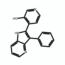 Oc1cnccc1-c1[nH]c2cccnc2c1-c1ccccc1